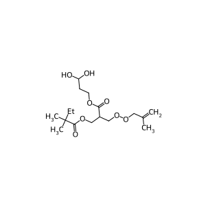 C=C(C)COOCC(COC(=O)C(C)(C)CC)C(=O)OCCC(O)O